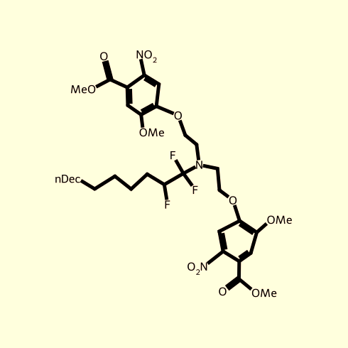 CCCCCCCCCCCCCCC(F)C(F)(F)N(CCOc1cc([N+](=O)[O-])c(C(=O)OC)cc1OC)CCOc1cc([N+](=O)[O-])c(C(=O)OC)cc1OC